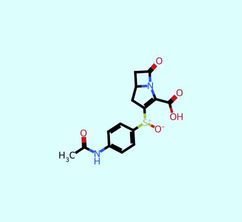 CC(=O)Nc1ccc([S+]([O-])C2=C(C(=O)O)N3C(=O)CC3C2)cc1